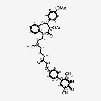 COc1ccc([C@@H]2Sc3ccccc3N(CCN(C)CCNC(=O)COc3ccc(-c4cc(C#N)c(=O)[nH]c4C)cc3)C(=O)[C@@H]2OC(C)=O)cc1